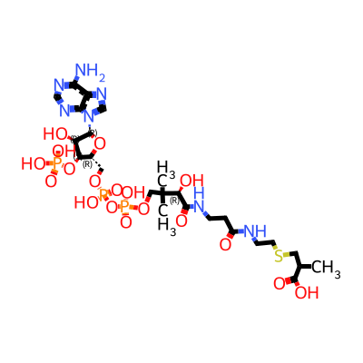 CC(CSCCNC(=O)CCNC(=O)[C@H](O)C(C)(C)COP(=O)(O)OP(=O)(O)OC[C@H]1O[C@@H](n2cnc3c(N)ncnc32)[C@H](O)[C@@H]1OP(=O)(O)O)C(=O)O